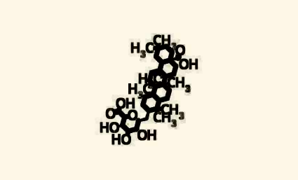 CC1(C)CC[C@]2(C(=O)O)CC[C@]3(C)C(=CCC4[C@@]5(C)CC[C@H](C[C@@H]6OC(C(=O)O)[C@@H](O)C(O)C6O)C(C)(C)C5CC[C@]43C)C2C1